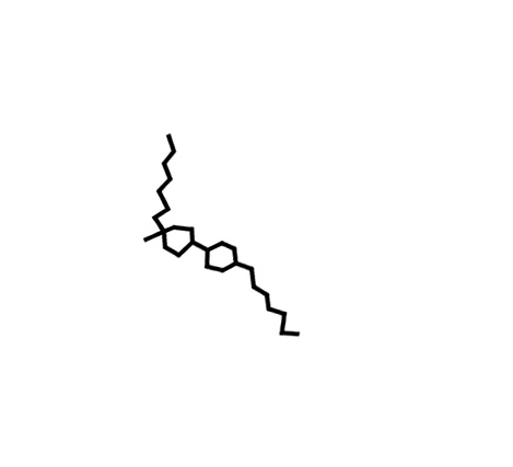 CCCCCCCC1CCC(C2CCC(C)(CCCCCCC)CC2)CC1